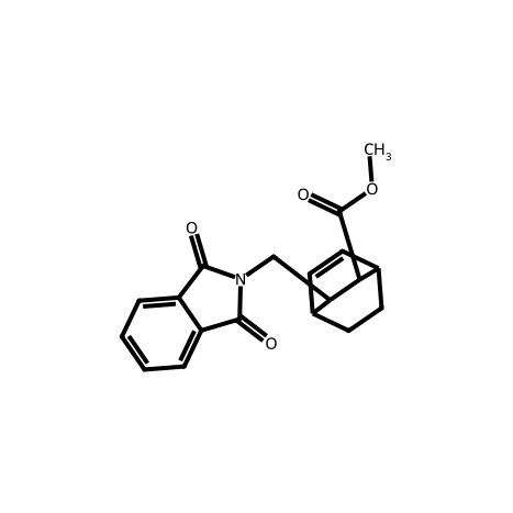 COC(=O)C1C2C=CC(CC2)C1CN1C(=O)c2ccccc2C1=O